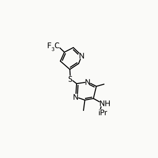 Cc1nc(Sc2cncc(C(F)(F)F)c2)nc(C)c1NC(C)C